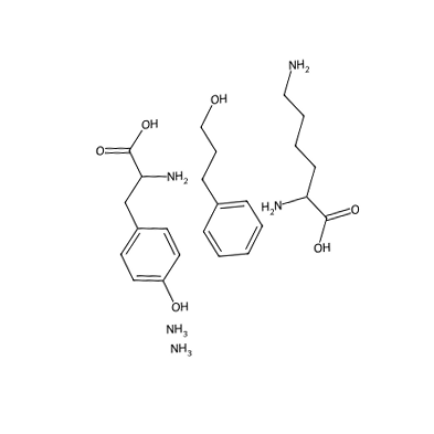 N.N.NC(Cc1ccc(O)cc1)C(=O)O.NCCCCC(N)C(=O)O.OCCCc1ccccc1